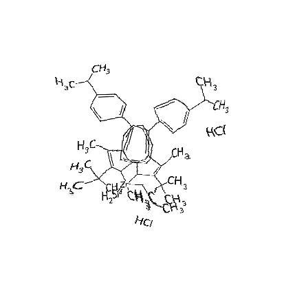 CC[CH2][Zr]([CH3])(=[SiH2])([CH]1C(C(C)(C)C)=C(C)c2c(-c3ccc(C(C)C)cc3)cccc21)[CH]1C(C(C)(C)C)=C(C)c2c(-c3ccc(C(C)C)cc3)cccc21.Cl.Cl